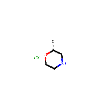 Br.C[C@@H]1CNCCO1